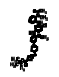 COc1cc(N2CCC(CN3CC(C(=O)OC(C)(C)C)C3)CC2)ccc1Nc1ncc(Cl)c(Nc2ccccc2N(C)[S+](C)[O-])n1